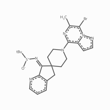 Cc1nc(N2CCC3(CC2)Cc2cccnc2C3=N[S+]([O-])C(C)(C)C)c2ccnn2c1Br